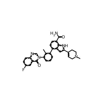 Cc1c(-c2ccc(C(N)=O)c3[nH]c(C4=CCN(C)CC4)cc23)cccc1-n1cnc2ccc(F)cc2c1=O